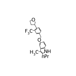 CCCc1[nH]c2ccc(OCc3ccc(C4CCOC4)c(C(F)(F)F)c3)cc2c1C